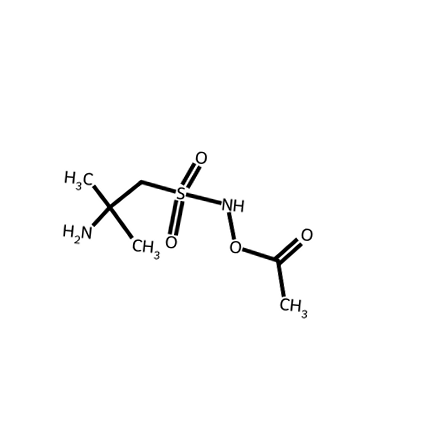 CC(=O)ONS(=O)(=O)CC(C)(C)N